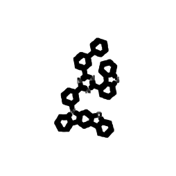 c1ccc(-c2cccc(-c3nc(-c4cccc(-n5c6ccccc6c6cc7c(cc65)oc5ccccc57)c4)nc(-c4cccc5sc6ccccc6c45)n3)c2)cc1